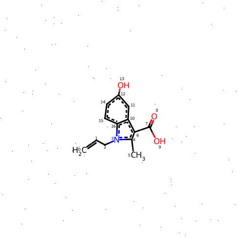 C=CCn1c(C)c(C(=O)O)c2cc(O)ccc21